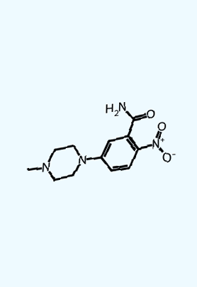 CN1CCN(c2ccc([N+](=O)[O-])c(C(N)=O)c2)CC1